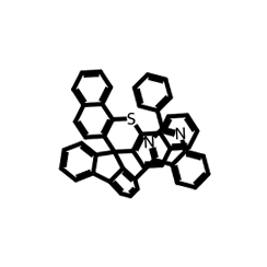 c1ccc(-c2nc(-c3cccc4c3C3(c5ccccc5-4)c4ccc5ccccc5c4Sc4c3ccc3ccccc43)c3ccccc3n2)cc1